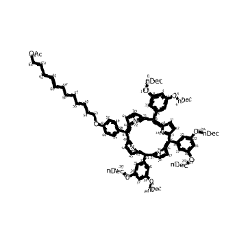 CCCCCCCCCCOc1cc(OCCCCCCCCCC)cc(C2=C3C=CC(=N3)C(c3cc(OCCCCCCCCCC)cc(OCCCCCCCCCC)c3)=C3C=CC(=N3)C(c3cc(OCCCCCCCCCC)cc(OCCCCCCCCCC)c3)=C3C=CC(=N3)C(c3ccc(OCCCCCCCCCCCCOC(C)=O)cc3)=C3C=CC2=N3)c1